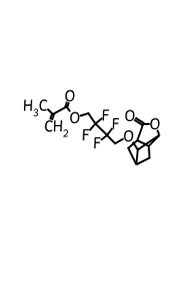 C=C(C)C(=O)OCC(F)(F)C(F)(F)COC1C2CC3C(=O)OC1C3C2